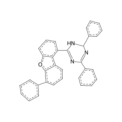 c1ccc(C2=NC(c3ccccc3)NC(c3cccc4oc5c(-c6ccccc6)cccc5c34)=N2)cc1